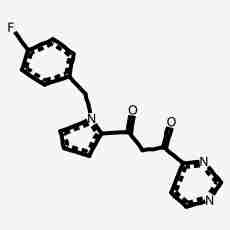 O=C(CC(=O)c1cccn1Cc1ccc(F)cc1)c1ccncn1